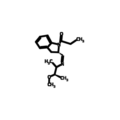 CCC(=O)N1c2ccccc2C[C@H]1/C=N\C(C)[C@@H](C)OC